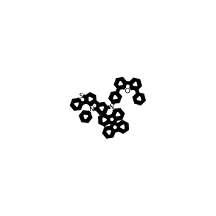 c1ccc(-c2cccc3c2oc2c(-c4ccc(N(c5ccc6c(c5)c5ccc7sc8ccccc8c7c5n6-c5ccccc5)c5cccc6c5-c5ccccc5C65c6ccccc6-c6ccccc65)cc4)cccc23)cc1